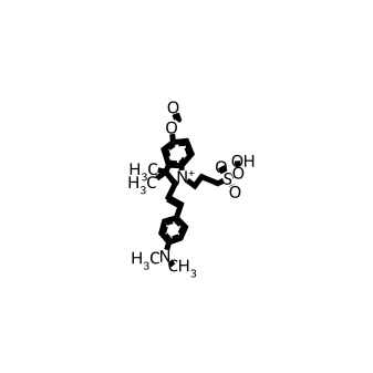 CN(C)c1ccc(/C=C/C2=[N+](CCCS(=O)(=O)OO)c3ccc(OC=O)cc3C2(C)C)cc1